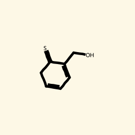 OCC1=CC=CCC1=S